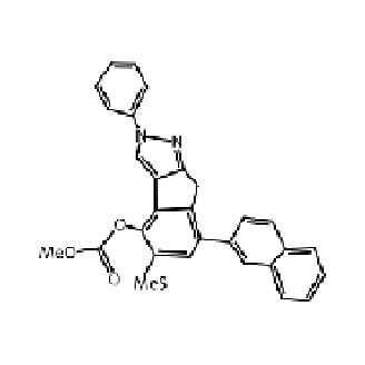 COC(=O)Oc1c(SC)cc(-c2ccc3ccccc3c2)c2c1-c1cn(-c3ccccc3)nc1C2